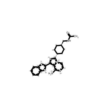 CC(=O)NC[C@H]1CC[C@H](c2nc(-c3nc4ccccc4o3)c3c(N)nccn32)CC1